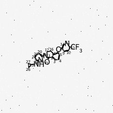 O=C1c2cccc(Oc3ccc(C(F)(F)F)nc3)c2CCN1c1cccc(NC2CC2)n1